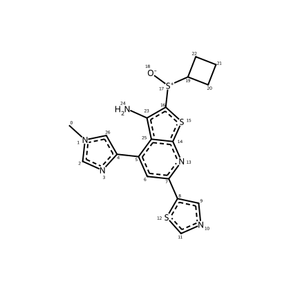 Cn1cnc(-c2cc(-c3cncs3)nc3sc([S+]([O-])C4CCC4)c(N)c23)c1